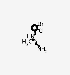 C=C(NCc1cccc(Br)c1Cl)SCCN